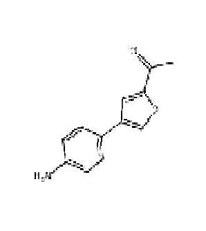 CC(=O)c1cc(-c2ccc(N)cc2)co1